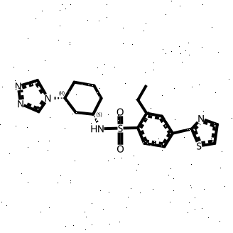 CCc1cc(-c2nccs2)ccc1S(=O)(=O)N[C@H]1CCC[C@@H](n2cnnc2)C1